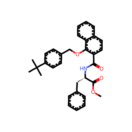 COC(=O)[C@H](Cc1ccccc1)NC(=O)c1ccc2ccccc2c1OCc1ccc(C(C)(C)C)cc1